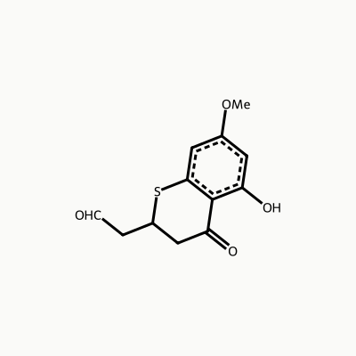 COc1cc(O)c2c(c1)SC(CC=O)CC2=O